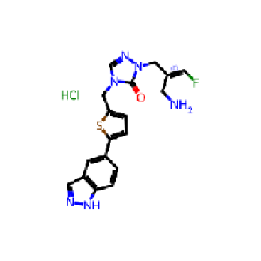 Cl.NC/C(=C\F)Cn1ncn(Cc2ccc(-c3ccc4[nH]ncc4c3)s2)c1=O